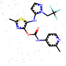 Cc1cc(NC(=O)Oc2nc(C)sc2Nc2ccnn2CC(F)(F)F)ccn1